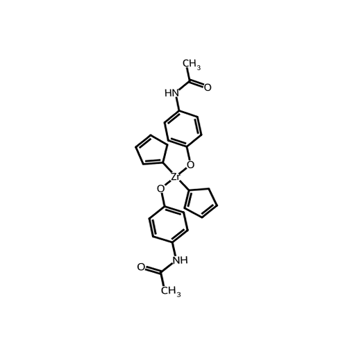 CC(=O)Nc1ccc([O][Zr]([O]c2ccc(NC(C)=O)cc2)([C]2=CC=CC2)[C]2=CC=CC2)cc1